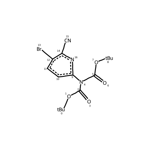 CC(C)(C)OC(=O)N(C(=O)OC(C)(C)C)c1ccc(Br)c(C#N)n1